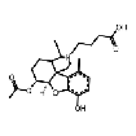 CC(=O)O[C@H]1CCC2C(C)N(CCCC(=O)O)CCC23c2c(C)ccc(O)c2O[C@@H]13